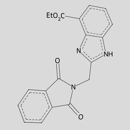 CCOC(=O)c1cccc2[nH]c(CN3C(=O)c4ccccc4C3=O)nc12